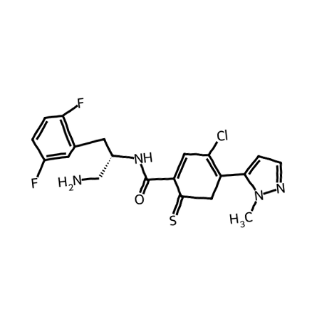 Cn1nccc1C1=C(Cl)C=C(C(=O)N[C@H](CN)Cc2cc(F)ccc2F)C(=S)C1